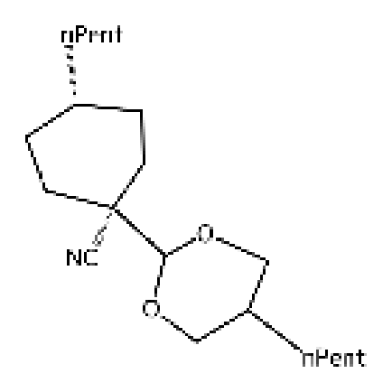 CCCCCC1COC([C@]2(C#N)CC[C@@H](CCCCC)CC2)OC1